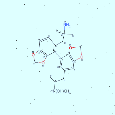 CC(Cc1cc2c(c(-c3c(CC(C)(C)N)ccc4c3OCO4)c1)OCO2)N(C)O